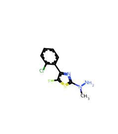 CN(N)c1nc(-c2ccccc2Cl)c(F)s1